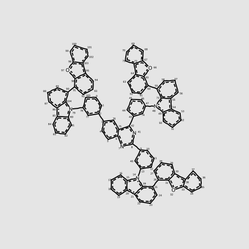 c1cc(-c2ccc3nc(-c4cccc(-n5c6ccccc6c6cccc(-c7cccc8c7oc7ccccc78)c65)c4)nc(-c4cccc(-n5c6ccccc6c6cccc(-c7cccc8c7oc7ccccc78)c65)c4)c3c2)cc(-n2c3ccccc3c3cccc(-c4cccc5c4oc4ccccc45)c32)c1